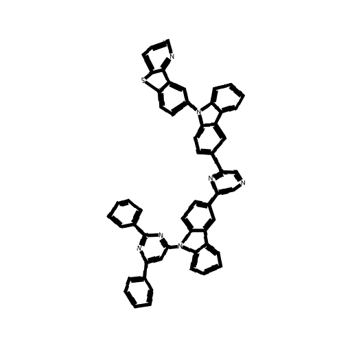 c1ccc(-c2cc(-n3c4ccccc4c4cc(-c5cncc(-c6ccc7c(c6)c6ccccc6n7-c6ccc7sc8cccnc8c7c6)n5)ccc43)nc(-c3ccccc3)n2)cc1